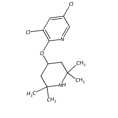 CC1(C)CC(Oc2ncc(Cl)cc2Cl)CC(C)(C)N1